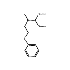 COC(OC)N(C)CCSc1ccccc1